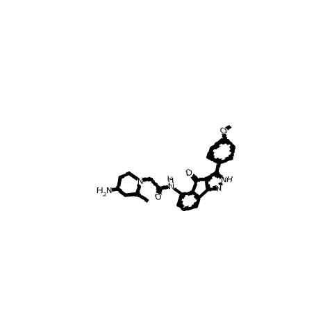 COc1ccc(-c2[nH]nc3c2C(=O)c2c(NC(=O)CN4CCC(N)CC4C)cccc2-3)cc1